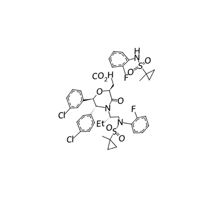 CC1(S(=O)(=O)Nc2ccccc2F)CC1.CC[C@@H](CN(c1ccccc1F)S(=O)(=O)C1(C)CC1)N1C(=O)[C@H](CC(=O)O)O[C@H](c2cccc(Cl)c2)[C@H]1c1ccc(Cl)cc1